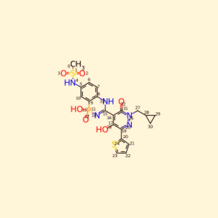 CS(=O)(=O)Nc1ccc2c(c1)P(=O)(O)N=C(c1c(O)c(-c3cccs3)nn(CC3CC3)c1=O)N2